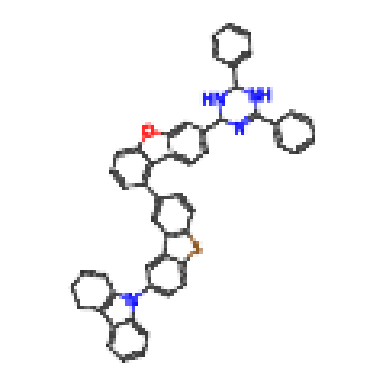 C1=Cc2c(c3ccccc3n2-c2ccc3sc4ccc(-c5cccc6oc7cc(C8N=C(c9ccccc9)NC(c9ccccc9)N8)ccc7c56)cc4c3c2)CC1